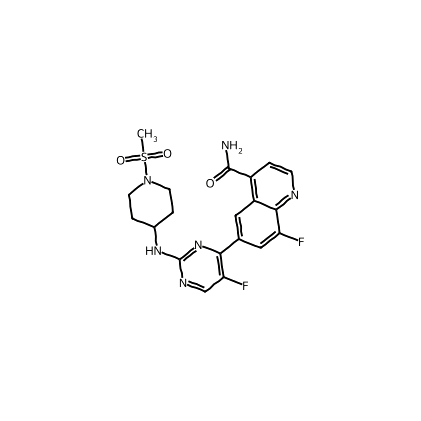 CS(=O)(=O)N1CCC(Nc2ncc(F)c(-c3cc(F)c4nccc(C(N)=O)c4c3)n2)CC1